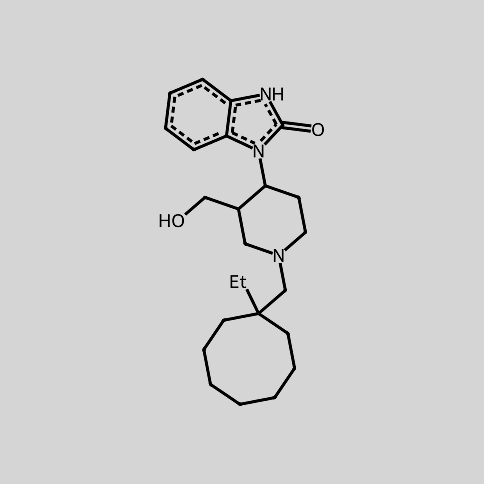 CCC1(CN2CCC(n3c(=O)[nH]c4ccccc43)C(CO)C2)CCCCCCC1